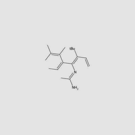 C=C/C(=C(\N=C(/C)N)C(=C/C)/C(C)=C(C)C)C(C)(C)C